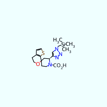 C[Si](C)(C)Cn1cc([C@@H]2CC3(CCN2C(=O)O)OCCc2ccsc23)nn1